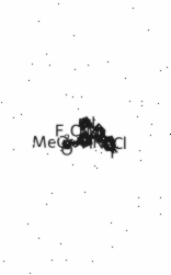 COC(=O)CCc1ccc(C2c3[nH]c4cc(F)c(Cl)cc4c3CCN2c2nccc(C(F)(F)F)n2)cc1